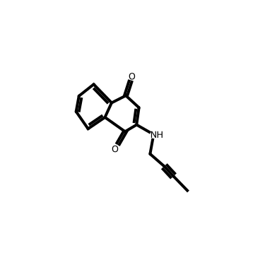 CC#CCNC1=CC(=O)c2ccccc2C1=O